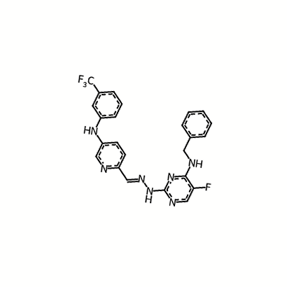 Fc1cnc(N/N=C/c2ccc(Nc3cccc(C(F)(F)F)c3)cn2)nc1NCc1ccccc1